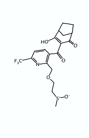 C[S+]([O-])CCOCc1nc(C(F)(F)F)ccc1C(=O)C1=C(O)C2CCC(C2)C1=O